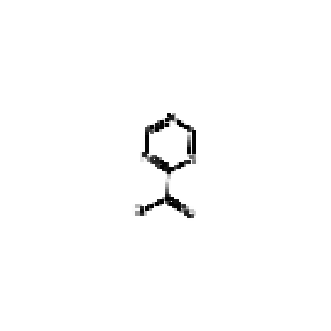 CCC(=O)c1ncncn1